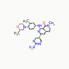 Cc1cc(Nc2nc(-c3cnc(N)nc3)cc3ccn(C)c(=O)c23)ccc1N1CCOC(C)C1